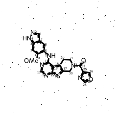 COc1cc2[nH]ncc2cc1Nc1ncnc2sc3c(c12)CCN(C(=O)c1cocn1)C3